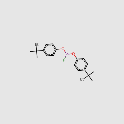 CCC(C)(C)c1ccc(OP(F)Oc2ccc(C(C)(C)CC)cc2)cc1